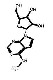 CNc1ncnc2c1ccn2[C@@H]1OC(CO)C(O)C1O